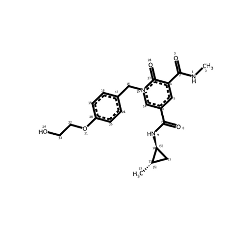 CNC(=O)c1cc(C(=O)N[C@H]2C[C@@H]2C)cn(Cc2ccc(OCCO)cc2)c1=O